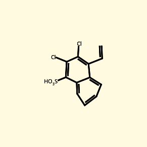 C=Cc1c(Cl)c(Cl)c(S(=O)(=O)O)c2ccccc12